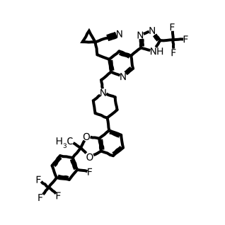 CC1(c2ccc(C(F)(F)F)cc2F)Oc2cccc(C3CCN(Cc4ncc(-c5nnc(C(F)(F)F)[nH]5)cc4CC4(C#N)CC4)CC3)c2O1